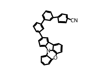 N#Cc1ccc(-c2cccc(-c3cccc(-c4ccc5c(c4)c4cccc6c4n5-c4ccccc4O6)c3)c2)cc1